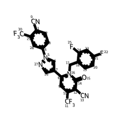 N#Cc1ccc(-n2cc(-c3cc(C(F)(F)F)c(C#N)c(=O)n3Cc3ccc(F)cc3F)cn2)cc1C(F)(F)F